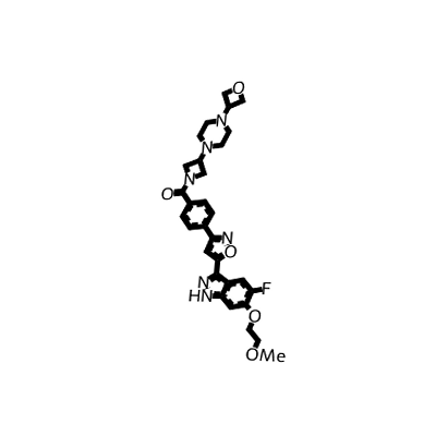 COCCOc1cc2[nH]nc(-c3cc(-c4ccc(C(=O)N5CC(N6CCN(C7COC7)CC6)C5)cc4)no3)c2cc1F